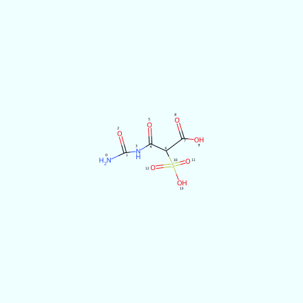 NC(=O)NC(=O)C(C(=O)O)S(=O)(=O)O